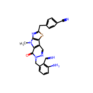 Cn1c2nc(Cc3ccc(C#N)cc3)sc2c2cnn(Cc3cccc(N)c3C=N)c(=O)c21